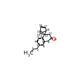 CCCc1ccc2c(c1)CC(=O)CC21CC2C=CC1C2